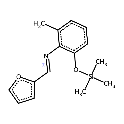 Cc1cccc(O[Si](C)(C)C)c1/N=C/c1ccco1